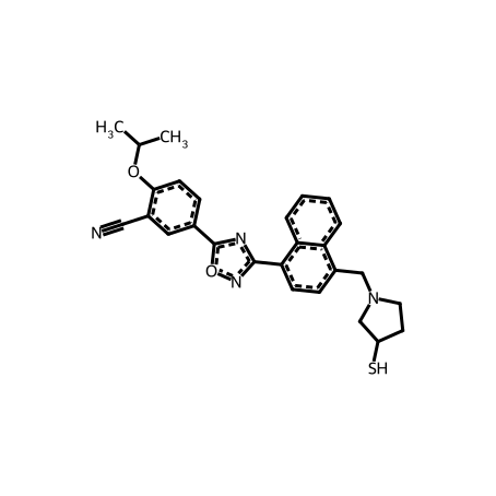 CC(C)Oc1ccc(-c2nc(-c3ccc(CN4CCC(S)C4)c4ccccc34)no2)cc1C#N